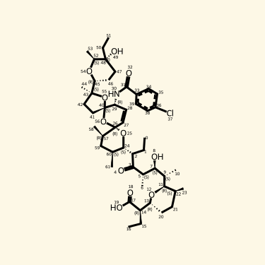 CCC(C(=O)[C@@H](C)[C@@H](O)[C@H](C)[C@@H]1O[C@@H]([C@@H](CC)C(=O)O)CC[C@@H]1C)[C@H]1O[C@]2(C=C[C@@H](NC(=O)c3ccc(Cl)cc3)[C@]3(CC[C@@](C)([C@H]4CC[C@](O)(CC)[C@H](C)O4)O3)O2)[C@H](C)C[C@@H]1C